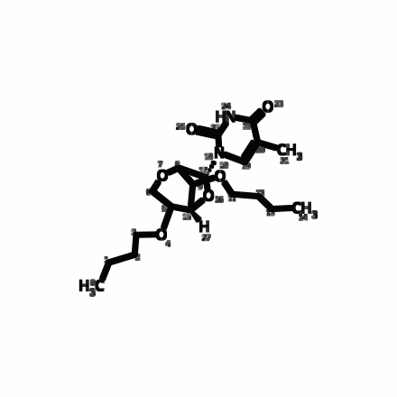 CCCCOC1COC2C(OCCCC)[C@@H]1O[C@H]2n1cc(C)c(=O)[nH]c1=O